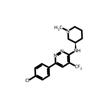 CN1CCC[C@@H](Nc2nnc(-c3ccc(Cl)cc3)cc2C(F)(F)F)C1